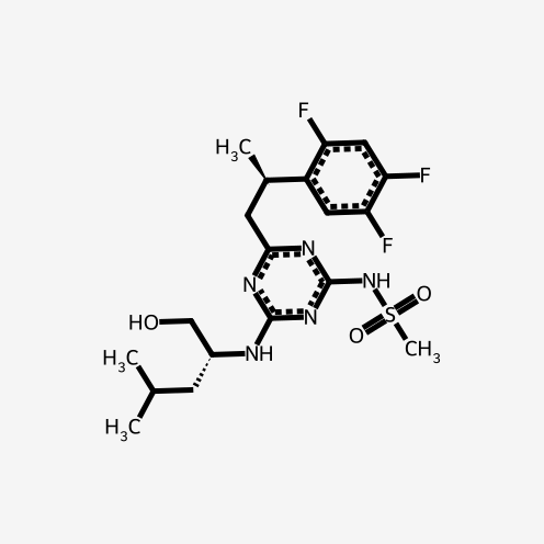 CC(C)C[C@H](CO)Nc1nc(C[C@@H](C)c2cc(F)c(F)cc2F)nc(NS(C)(=O)=O)n1